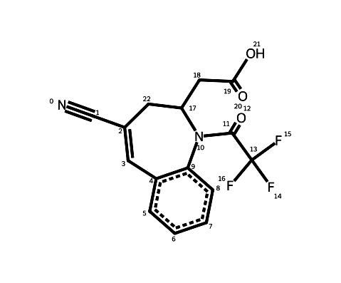 N#CC1=Cc2ccccc2N(C(=O)C(F)(F)F)C(CC(=O)O)C1